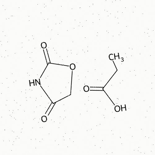 CCC(=O)O.O=C1COC(=O)N1